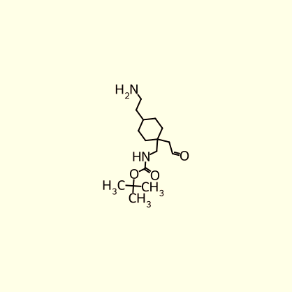 CC(C)(C)OC(=O)NCC1(CC=O)CCC(CCN)CC1